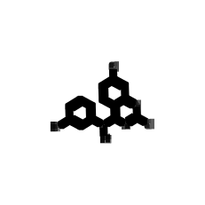 CCN(c1cccc(Br)c1)c1nc(Cl)nc2cc(Cl)ccc12